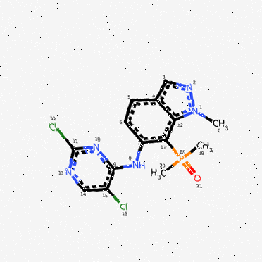 Cn1ncc2ccc(Nc3nc(Cl)ncc3Cl)c(P(C)(C)=O)c21